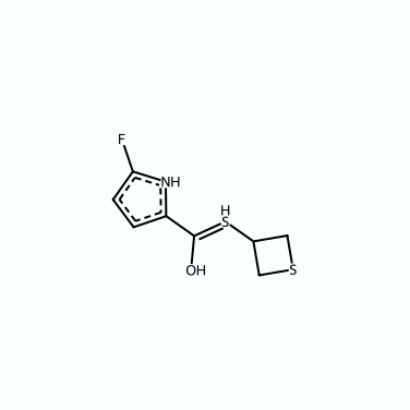 OC(=[SH]C1CSC1)c1ccc(F)[nH]1